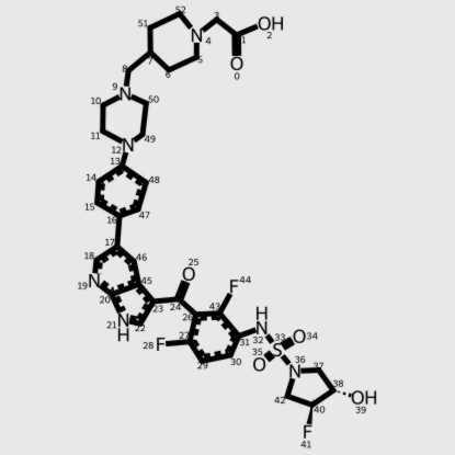 O=C(O)CN1CCC(CN2CCN(c3ccc(-c4cnc5[nH]cc(C(=O)c6c(F)ccc(NS(=O)(=O)N7C[C@H](O)[C@@H](F)C7)c6F)c5c4)cc3)CC2)CC1